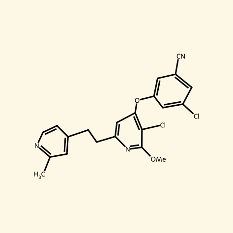 COc1nc(CCc2ccnc(C)c2)cc(Oc2cc(Cl)cc(C#N)c2)c1Cl